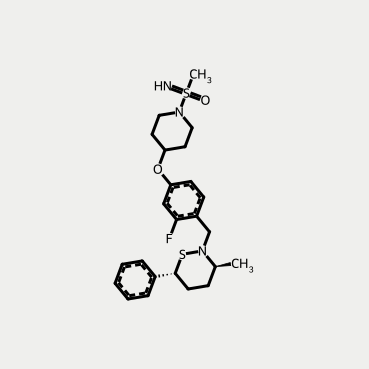 C[C@H]1CC[C@H](c2ccccc2)SN1Cc1ccc(OC2CCN(S(C)(=N)=O)CC2)cc1F